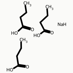 CCCC(=O)O.CCCC(=O)O.CCCC(=O)O.[NaH]